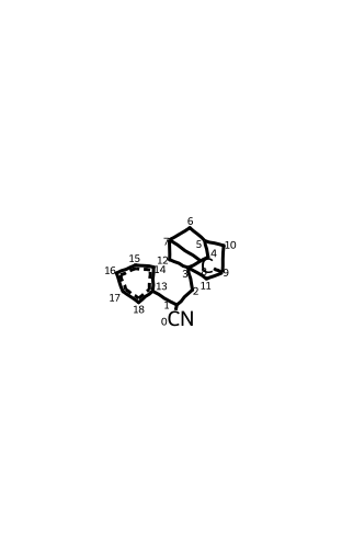 N#CC(CC12CC3CC(CC(C3)C1)C2)c1ccccc1